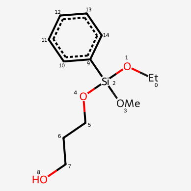 CCO[Si](OC)(OCCCO)c1ccccc1